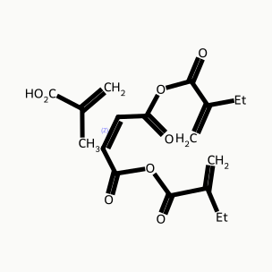 C=C(C)C(=O)O.C=C(CC)C(=O)OC(=O)/C=C\C(=O)OC(=O)C(=C)CC